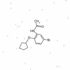 CC(=O)Nc1cc(Br)ccc1OC1CCCC1